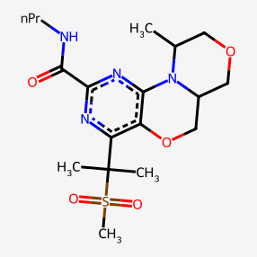 CCCNC(=O)c1nc2c(c(C(C)(C)S(C)(=O)=O)n1)OCC1COCC(C)N21